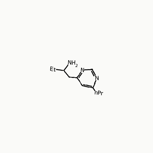 CCCc1cc(CC(N)CC)ncn1